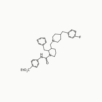 CCOC(=O)c1ccc(NC(=O)N2CCCC(CN3CCC(Cc4ccc(F)cc4)CC3)C2Cc2ccccc2)cc1